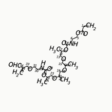 C=CC(=O)OCCNC(=O)OC(C)COCC(C)OCC(C)OCC(C)OC(=O)NCCOCC(=C)C=O